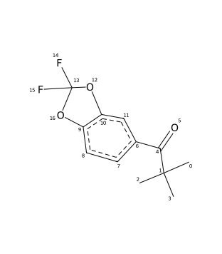 CC(C)(C)C(=O)c1ccc2c(c1)OC(F)(F)O2